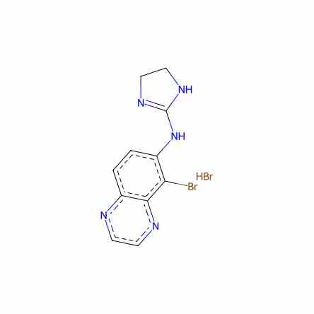 Br.Brc1c(NC2=NCCN2)ccc2nccnc12